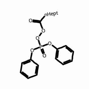 CCCCCCCC(=O)OOP(=O)(Oc1ccccc1)Oc1ccccc1